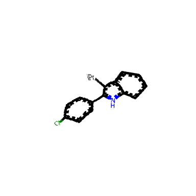 CC(C)c1c(-c2ccc(Cl)cc2)[nH]c2ccccc12